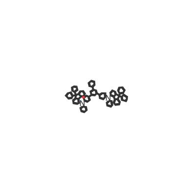 c1ccc(-c2cc(-c3ccc(N(c4ccccc4)c4cccc5c4-c4ccccc4C5(c4ccccc4)c4ccccc4)cc3)cc(-c3ccc(N(c4ccccc4)c4cccc5c4-c4ccccc4C5(c4ccccc4)c4ccccc4)cc3)c2)cc1